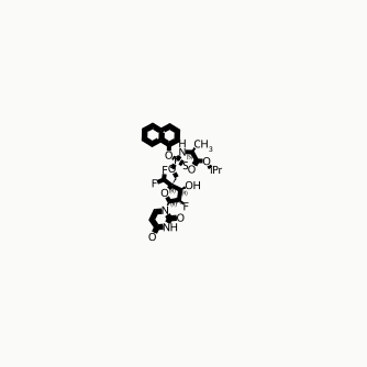 CC(C)OC(=O)[C@H](C)NP(=S)(OC[C@@]1(C(F)F)O[C@@H](n2ccc(=O)[nH]c2=O)[C@H](F)[C@@H]1O)Oc1cccc2ccccc12